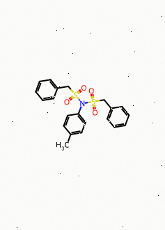 Cc1ccc(N(S(=O)(=O)Cc2ccccc2)S(=O)(=O)Cc2ccccc2)cc1